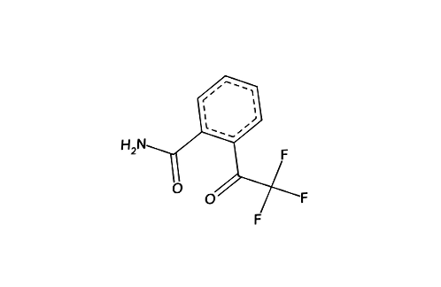 NC(=O)c1ccccc1C(=O)C(F)(F)F